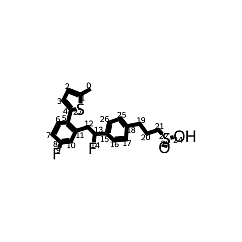 Cc1ccc(-c2ccc(F)cc2CC(F)c2ccc(CCCS(=O)O)cc2)s1